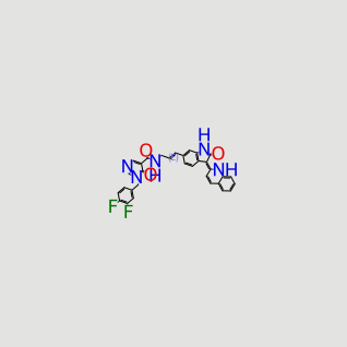 O=C1Nc2cc(/C=C/CNC(=O)c3cncn(Cc4ccc(F)c(F)c4)c3=O)ccc2C1=C1C=Cc2ccccc2N1